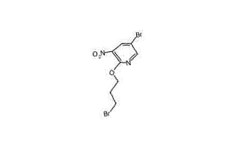 O=[N+]([O-])c1cc(Br)cnc1OCCCBr